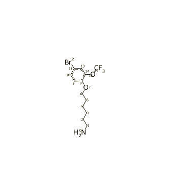 NCCCCCCOc1ccc(Br)cc1OC(F)(F)F